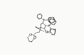 C=C1C(C)(CCC2OCCCO2)C12CC(P(c1ccccc1)c1ccccc1)C(P(c1ccccc1)c1ccccc1)C2O